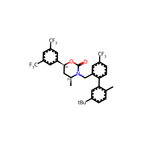 Cc1ccc(C(C)(C)C)cc1-c1ccc(C(F)(F)F)cc1CN1C(=O)O[C@H](c2cc(C(F)(F)F)cc(C(F)(F)F)c2)C[C@@H]1C